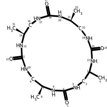 CC1CNC(=O)N[C@@H](C)CNC(=O)N[C@@H](C)CNC(=O)N[C@@H](C)CNC(=O)N1